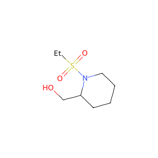 CCS(=O)(=O)N1CCCCC1CO